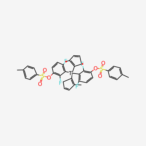 CC1=[C]([Ti]([C]2=C(C)C=CC2)([c]2c(F)ccc(OS(=O)(=O)c3ccc(C)cc3)c2F)[c]2c(F)ccc(OS(=O)(=O)c3ccc(C)cc3)c2F)CC=C1